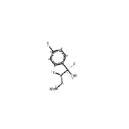 CNC[C@@H](F)[C@](C)(O)c1ccc(F)cc1